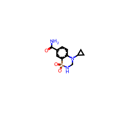 NC(=O)c1ccc2c(c1)S(=O)(=O)NCN2C1CC1